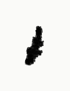 C1=CCC2C(=C1)C(c1ccc(-c3c4c(c(-c5ccc(-c6cn7ccccc7n6)cc5)c5ccccc35)=CCCC=4)cc1)=c1ccccc1=C2c1ccc(-c2cn3ccccc3n2)cc1